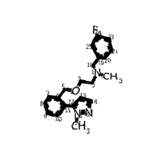 CN(CCOCc1ccccc1-c1ccnn1C)Cc1cccc(F)c1